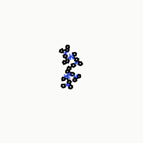 c1ccc(-n2c3ccccc3c3ccc(-c4nc(-n5c6cc(-n7c8ccccc8c8ccccc87)ccc6c6c7cc(-c8ccc(-n9c%10ccccc%10c%10ccc(-c%11nc(-n%12c%13cc(-n%14c%15ccccc%15c%15c%16ccccc%16ccc%15%14)ccc%13c%13c%14ccccc%14ccc%13%12)nc%12ccccc%11%12)cc%109)cc8)ccc7ccc65)nc5ccccc45)cc32)cc1